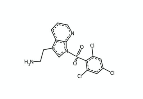 NCCc1cn(S(=O)(=O)c2c(Cl)cc(Cl)cc2Cl)c2ncccc12